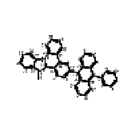 c1ccc(-c2c3ccccc3c(-c3ccc4c(c3)-c3ccccc3N3c5ccccc5NC43)c3ccccc23)cc1